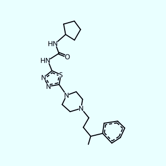 CC(CCN1CCN(c2nnc(NC(=O)NC3CCCC3)s2)CC1)c1ccccc1